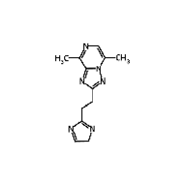 Cc1ncc(C)n2nc(CCC3=NCC=N3)nc12